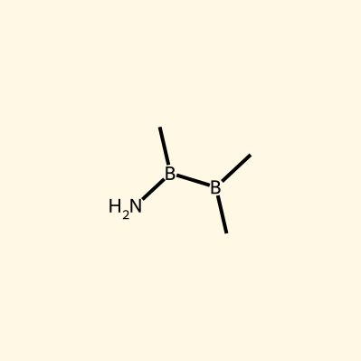 CB(C)B(C)N